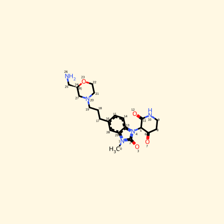 Cn1c(=O)n(C2C(=O)CCNC2=O)c2ccc(CCCN3CCO[C@H](CN)C3)cc21